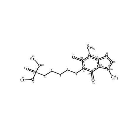 CCOP(=O)(CCCCCn1c(=O)c2c(ncn2C)n(C)c1=O)OCC